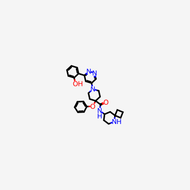 O=C(NC1CCNC2(CCC2)C1)C1(Oc2ccccc2)CCN(c2cnnc(-c3ccccc3O)c2)CC1